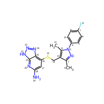 Cc1nn(-c2ccc(F)cc2)c(C)c1CSc1cc(N)nc2[nH]nnc12